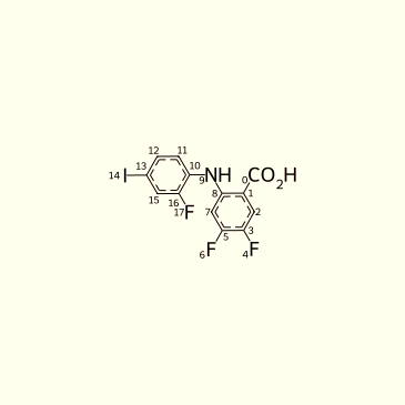 O=C(O)c1cc(F)c(F)cc1Nc1ccc(I)cc1F